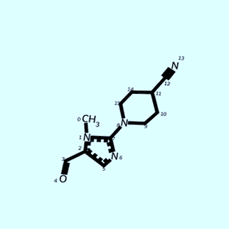 Cn1c(C=O)cnc1N1CCC(C#N)CC1